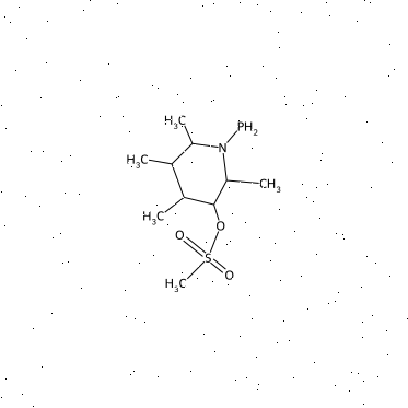 CC1C(C)C(C)N(P)C(C)C1OS(C)(=O)=O